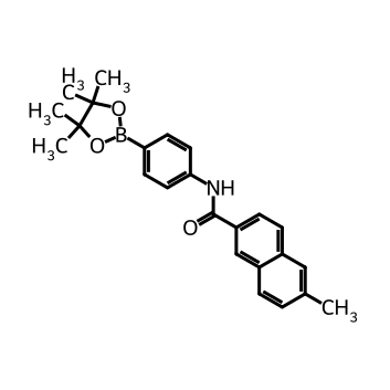 Cc1ccc2cc(C(=O)Nc3ccc(B4OC(C)(C)C(C)(C)O4)cc3)ccc2c1